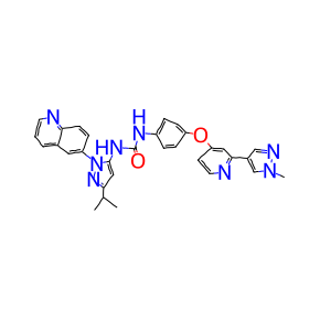 CC(C)c1cc(NC(=O)Nc2ccc(Oc3ccnc(-c4cnn(C)c4)c3)cc2)n(-c2ccc3ncccc3c2)n1